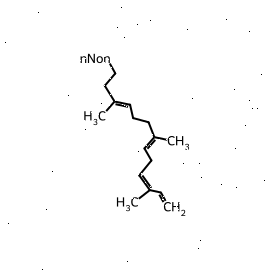 C=CC(C)=CCC=C(C)CCC=C(C)CCCCCCCCCCC